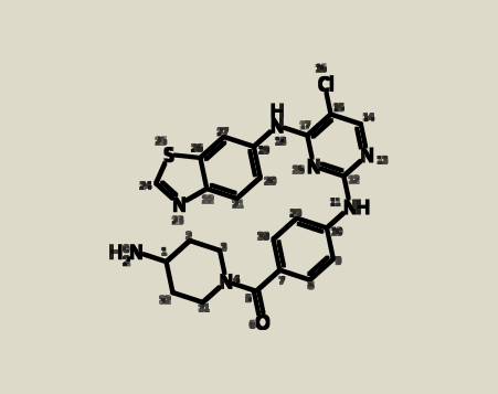 NC1CCN(C(=O)c2ccc(Nc3ncc(Cl)c(Nc4ccc5ncsc5c4)n3)cc2)CC1